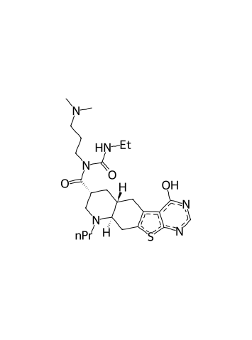 CCCN1C[C@H](C(=O)N(CCCN(C)C)C(=O)NCC)C[C@@H]2Cc3c(sc4ncnc(O)c34)C[C@H]21